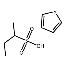 CCC(C)S(=O)(=O)O.c1ccsc1